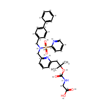 CC(C)(Cc1cccc(CN(Cc2ccc(-c3ccccc3)cc2)S(=O)(=O)c2ccccn2)n1)OC(=O)NCC(=O)O